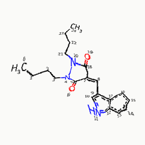 CCCCN1C(=O)C(=Cc2c[nH]c3ccccc23)C(=O)N1CCCC